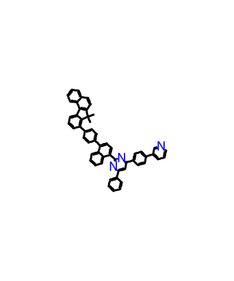 CC1(C)c2ccc3ccccc3c2-c2cccc(-c3ccc(-c4ccc(-c5nc(-c6ccccc6)cc(-c6ccc(-c7cccnc7)cc6)n5)c5ccccc45)cc3)c21